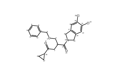 O=C(CC(COCc1ccccc1)C(=O)N1Cc2cc(Cl)c(Cl)cc2C1)C1CC1